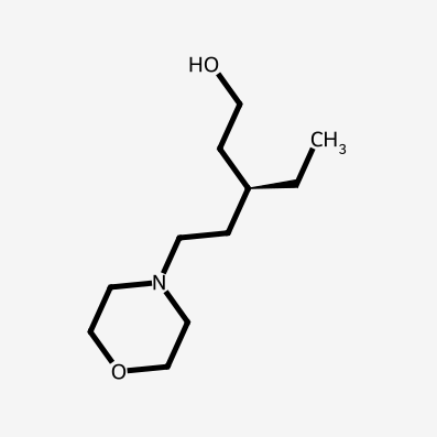 CC[C@H](CCO)CCN1CCOCC1